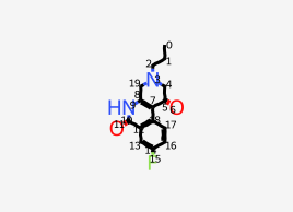 CCCN1CC(=O)c2c([nH]c(=O)c3cc(F)ccc23)C1